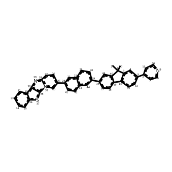 CC1(C)c2cc(-c3ccncc3)ccc2-c2ccc(-c3ccc4cc(-c5ccc6nc7c8ccccc8sc7n6c5)ccc4c3)cc21